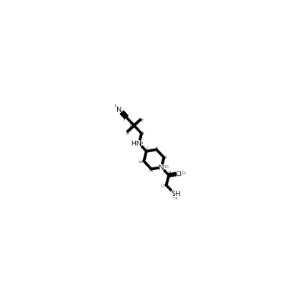 CC(C)(C#N)CNC1CCN(C(=O)CS)CC1